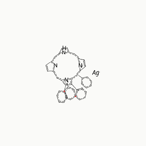 C1=Cc2cc3c(-c4ccccc4)c(-c4ccccc4)c(c(-c4ccccc4)c4nc(cc5ccc(cc1n2)[nH]5)C=C4)n3-c1ccccc1.[Ag]